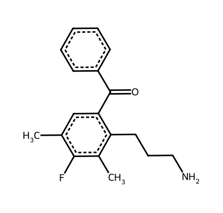 Cc1cc(C(=O)c2ccccc2)c(CCCN)c(C)c1F